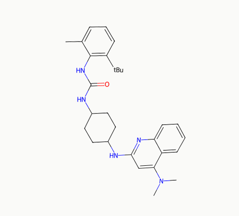 Cc1cccc(C(C)(C)C)c1NC(=O)NC1CCC(Nc2cc(N(C)C)c3ccccc3n2)CC1